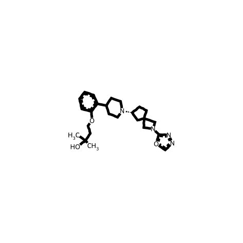 CC(C)(O)CCOc1ccccc1C1CCN([C@@H]2CCC3(C2)CN(c2nnco2)C3)CC1